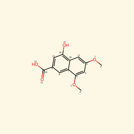 COc1cc(OC)c2cc(C(=O)O)cc(O)c2c1